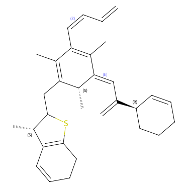 C=C/C=C\C1=C(C)C(=C/C(=C)[C@H]2C=CCCC2)/[C@H](C)C(CC2SC3=C(C=CCC3)[C@@H]2C)=C1C